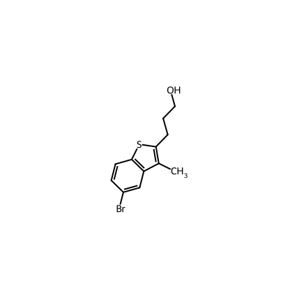 Cc1c(CCCO)sc2ccc(Br)cc12